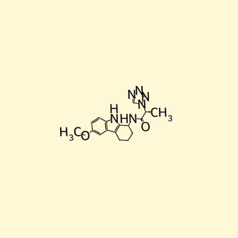 COc1ccc2[nH]c3c(c2c1)CCCC3NC(=O)[C@H](C)n1cnnn1